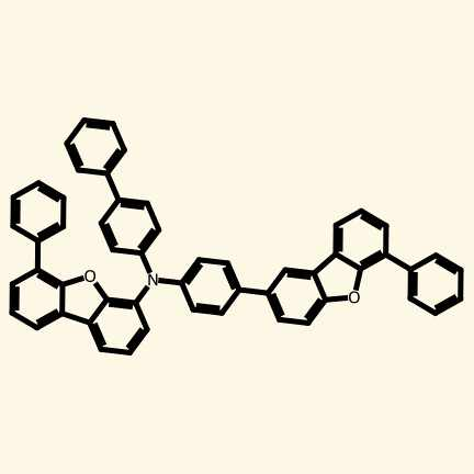 c1ccc(-c2ccc(N(c3ccc(-c4ccc5oc6c(-c7ccccc7)cccc6c5c4)cc3)c3cccc4c3oc3c(-c5ccccc5)cccc34)cc2)cc1